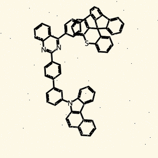 c1cc(-c2ccc(-c3nc(-c4ccc(-c5cccc6c5C5(c7ccccc7Sc7ccccc75)c5ccccc5-6)cc4)c4ccccc4n3)cc2)cc(-n2c3ccccc3c3c4ccccc4ccc32)c1